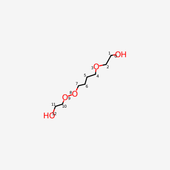 OCCOCCCCOOCCO